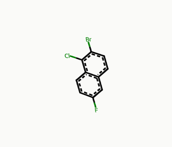 Fc1ccc2c(Cl)c(Br)ccc2c1